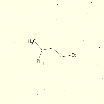 CCCCC(C)P